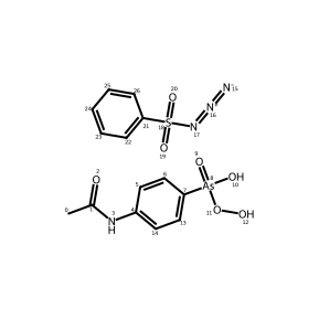 CC(=O)Nc1ccc([As](=O)(O)OO)cc1.[N-]=[N+]=NS(=O)(=O)c1ccccc1